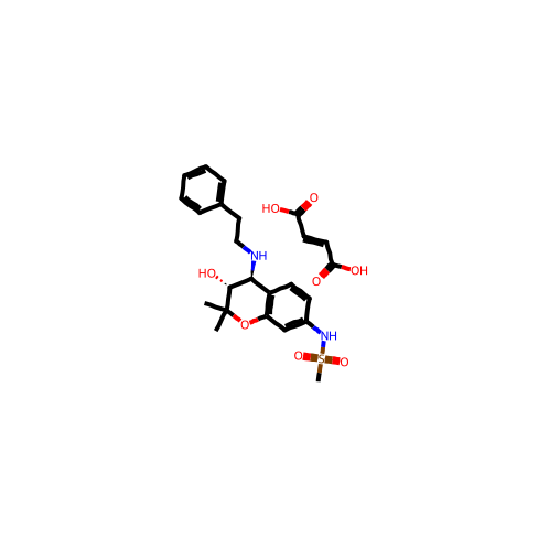 CC1(C)Oc2cc(NS(C)(=O)=O)ccc2[C@H](NCCc2ccccc2)[C@H]1O.O=C(O)C=CC(=O)O